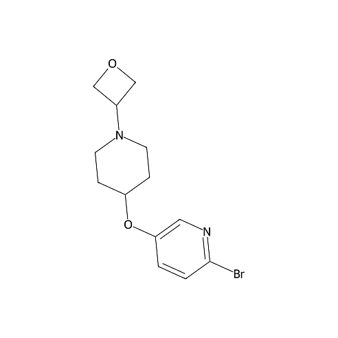 Brc1ccc(OC2CCN(C3COC3)CC2)cn1